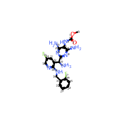 COC(=O)Nc1c(N)nc(C(N)c2cc(F)cnc2NCc2ccccc2F)nc1N